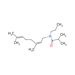 CCCN(C/C=C(/C)CCC=C(C)C)C(=O)C(C)C